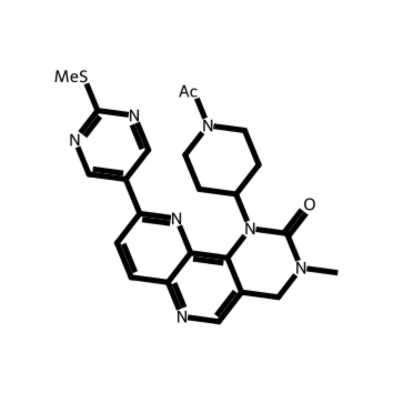 CSc1ncc(-c2ccc3ncc4c(c3n2)N(C2CCN(C(C)=O)CC2)C(=O)N(C)C4)cn1